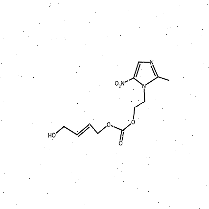 Cc1ncc([N+](=O)[O-])n1CCOC(=O)OCC=CCO